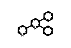 c1ccc(-c2ccc(-c3cccnc3)nc2-c2ccccc2)cc1